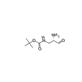 CC(C)(C)OC(=O)NC[C@H](N)C=O